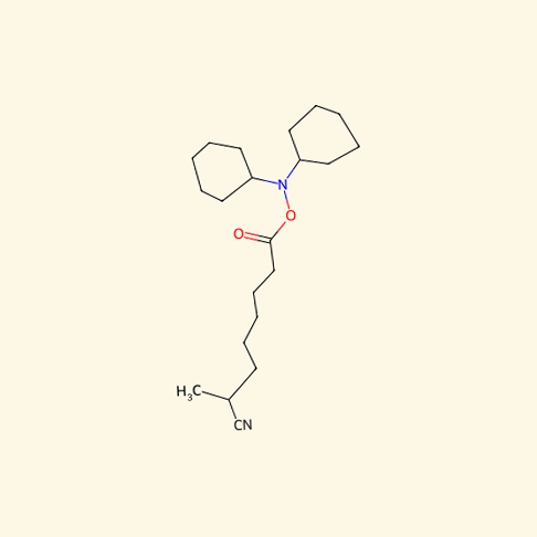 CC(C#N)CCCCCC(=O)ON(C1CCCCC1)C1CCCCC1